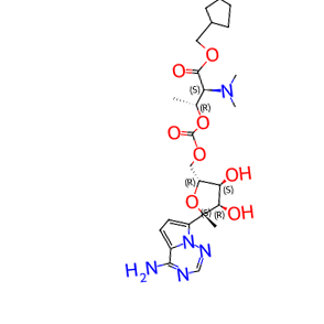 C[C@@H](OC(=O)OC[C@H]1O[C@@](C)(c2ccc3c(N)ncnn23)[C@H](O)[C@@H]1O)[C@@H](C(=O)OCC1CCCC1)N(C)C